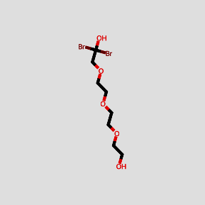 OCCOCCOCCOCC(O)(Br)Br